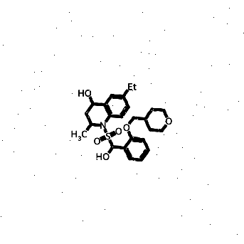 CCc1ccc2c(c1)C(O)CC(C)N2S(=O)(=O)C(O)c1ccccc1OCC1CCOCC1